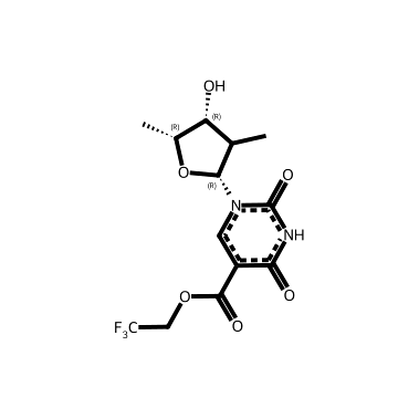 CC1[C@@H](O)[C@@H](C)O[C@H]1n1cc(C(=O)OCC(F)(F)F)c(=O)[nH]c1=O